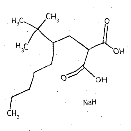 CCCCCC(CC(C(=O)O)C(=O)O)C(C)(C)C.[NaH]